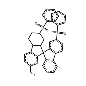 Cc1ccc2c(c1)C1(c3ccccc3-c3ccc(S(=O)(=O)c4ccccc4)cc31)C1CC(S(=O)(=O)c3ccccc3)CCC21